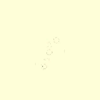 CCOc1cc(NC(=O)c2ccnn2C)ccc1S(=O)(=O)Nc1cccc(C(F)(F)F)c1